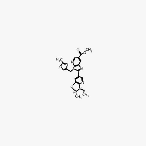 CCN1c2ncc(-c3nc4cc(C(=O)OC)cnc4n3Cc3coc(C)n3)cc2OC[C@H]1C